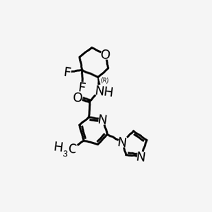 Cc1cc(C(=O)N[C@@H]2COCCC2(F)F)nc(-n2ccnc2)c1